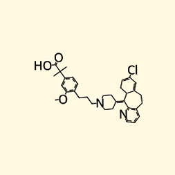 COc1cc(C(C)(C)C(=O)O)ccc1CCCN1CCC(=C2c3ncccc3CCC3=CC(Cl)=CCC32)CC1